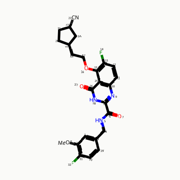 COc1cc(CNC(=O)c2nc3ccc(F)c(OCCC4CCC(C#N)C4)c3c(=O)[nH]2)ccc1F